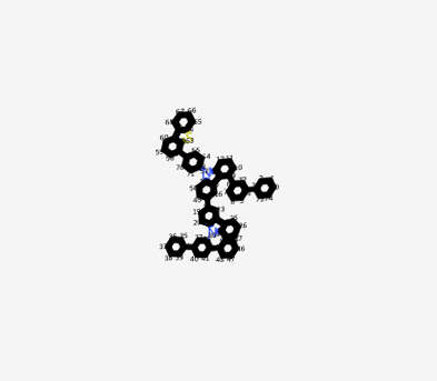 c1ccc(-c2cccc(-c3cccc4c3c3cc(-c5ccc6c(c5)c5ccccc5n6-c5cc(-c6ccccc6)ccc5-c5ccccc5)ccc3n4-c3ccc(-c4cccc5c4sc4ccccc45)cc3)c2)cc1